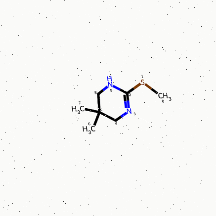 CSC1=NCC(C)(C)CN1